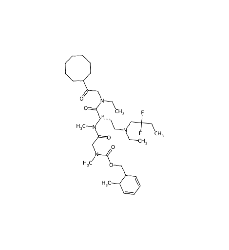 CCN(CC[C@@H](C(=O)N(CC)CC(=O)C1CCCCCCC1)N(C)C(=O)CN(C)C(=O)OCC1C=CC=CC1C)CC(F)(F)CC